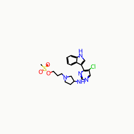 CS(=O)(=O)OCCCN1CCC(Nc2ncc(Cl)c(-c3c[nH]c4ccccc34)n2)C1